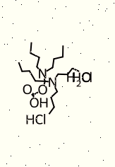 CCCCN(CCCC)C(CCCC)(OC(=O)O)N(CCCC)CCCC.Cl.Cl.O